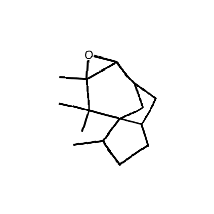 CC1CCC2CC3CC12C(C)(C)C1(C)OC31